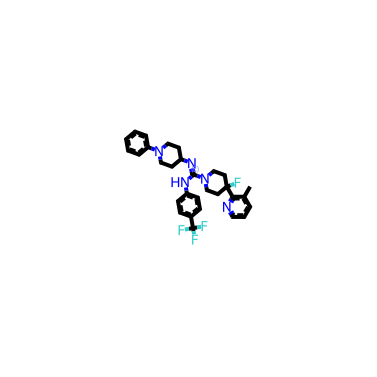 Cc1cccnc1C1(F)CCN(/C(=N/C2CCN(c3ccccc3)CC2)Nc2ccc(C(F)(F)F)cc2)CC1